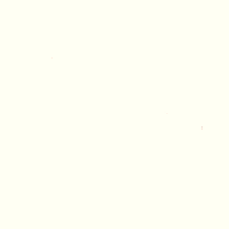 CCC1OC(NC)=C(c2cccc(C(F)(F)F)c2)C1=O